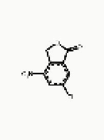 O=C1OCc2c1cc(Cl)cc2[N+](=O)[O-]